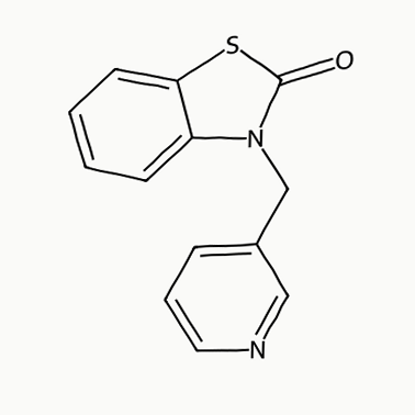 O=c1sc2ccccc2n1Cc1cccnc1